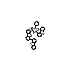 c1ccc(C2NC(c3cccc4c3sc3c(-c5cccc6c5sc5ccccc56)cccc34)=NC(c3cccc4sc5ccccc5c34)N2)cc1